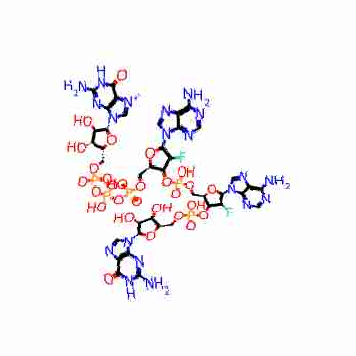 C[n+]1cn([C@@H]2O[C@H](COP(=O)([O-])OP(=O)(O)OP(=O)(O)OC[C@H]3O[C@@H](n4cnc5c(N)ncnc54)[C@@H](F)C3OP(=O)(O)OC[C@H]3O[C@@H](n4cnc5c(N)ncnc54)[C@@H](F)C3OP(=O)(O)OC[C@H]3O[C@@H](n4cnc5c(=O)[nH]c(N)nc54)[C@@H](O)C3O)[C@H](O)C2O)c2nc(N)[nH]c(=O)c21